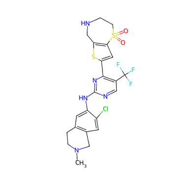 CN1CCc2cc(Nc3ncc(C(F)(F)F)c(-c4cc5c(s4)CNCCS5(=O)=O)n3)c(Cl)cc2C1